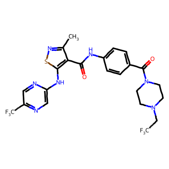 Cc1nsc(Nc2cnc(C(F)(F)F)cn2)c1C(=O)Nc1ccc(C(=O)N2CCN(CC(F)(F)F)CC2)cc1